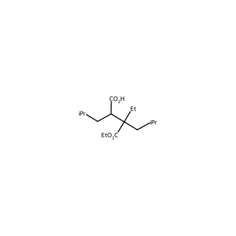 CCOC(=O)C(CC)(CC(C)C)C(CC(C)C)C(=O)O